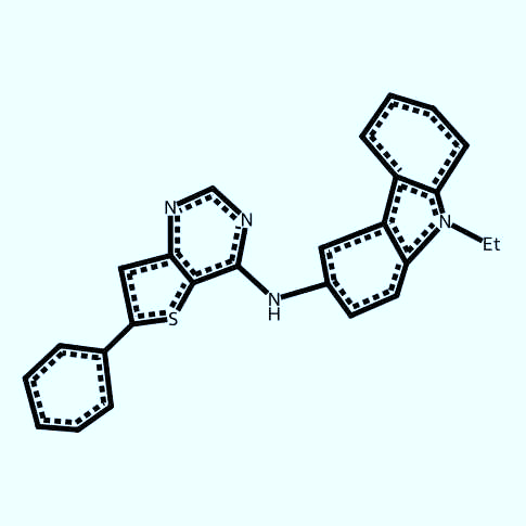 CCn1c2ccccc2c2cc(Nc3ncnc4cc(-c5ccccc5)sc34)ccc21